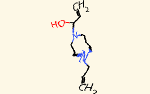 C=CCN1CCN(C(O)C=C)CC1